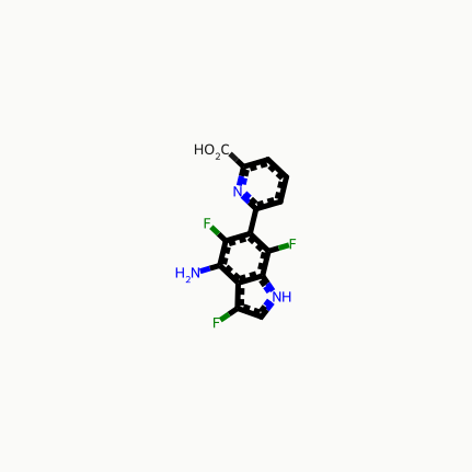 Nc1c(F)c(-c2cccc(C(=O)O)n2)c(F)c2[nH]cc(F)c12